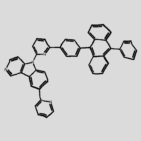 c1ccc(-c2c3ccccc3c(-c3ccc(-c4cccc(-n5c6ccncc6c6cc(-c7ccccn7)ccc65)n4)cc3)c3ccccc23)cc1